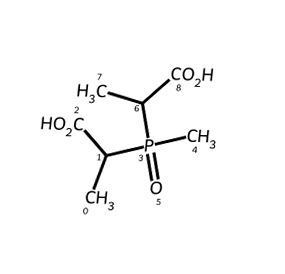 CC(C(=O)O)P(C)(=O)C(C)C(=O)O